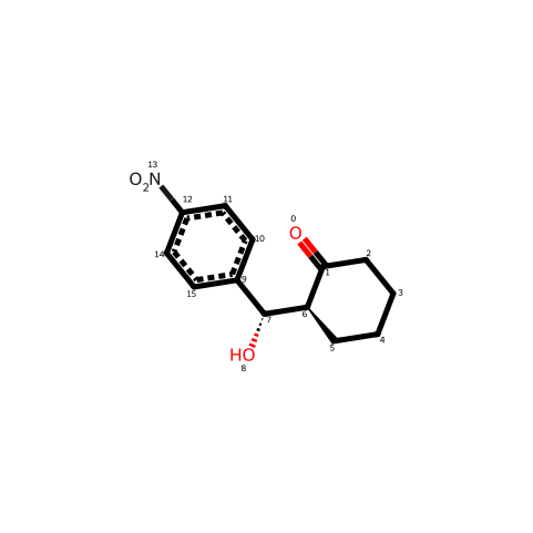 O=C1CCCC[C@H]1[C@H](O)c1ccc([N+](=O)[O-])cc1